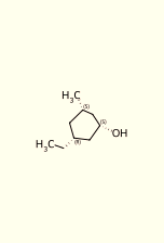 CC[C@@H]1C[C@H](C)C[C@H](O)C1